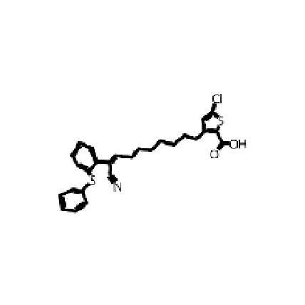 N#C/C(=C\CCCCCCCc1cc(Cl)sc1C(=O)O)c1ccccc1Sc1ccccc1